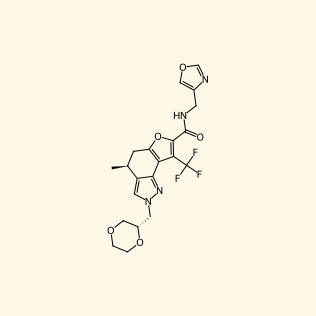 C[C@H]1Cc2oc(C(=O)NCc3cocn3)c(C(F)(F)F)c2-c2nn(C[C@H]3COCCO3)cc21